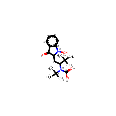 CC(C)(C)C(CC1C(=O)c2ccccc2N1O)N(C(=O)O)C(C)(C)C